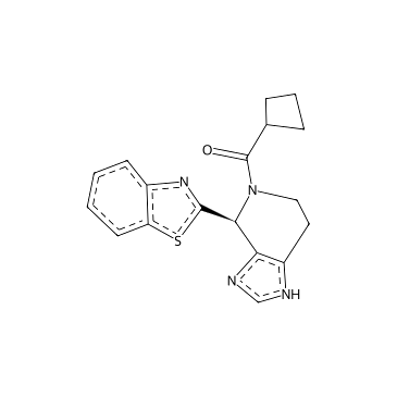 O=C(C1CCC1)N1CCc2[nH]cnc2[C@H]1c1nc2ccccc2s1